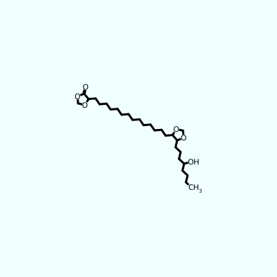 CCCCC(O)CCCC1OCOC1CCCCCCCCCCCCCCC1OCOC1=O